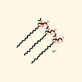 CCCCCCCCC=CCCCCCCCCOC(CC)(OC(C)C)C(=O)CC(=O)[O-].CCCCCCCCC=CCCCCCCCCOC(CC)(OC(C)C)C(=O)CC(=O)[O-].CCCCCCCCC=CCCCCCCCCOC(CC)(OC(C)C)C(=O)CC(=O)[O-].[Al+3]